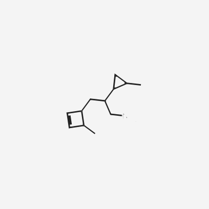 CC1C=CC1CC(CN)C1CC1C